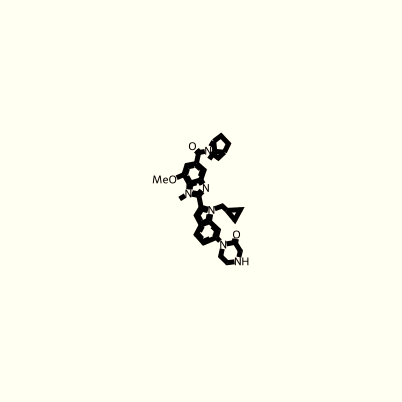 COc1cc(C(=O)N2CC3CCC2C3C)cc2nc(-c3cc4ccc(N5CCNCC5=O)cc4n3CC3CC3)n(C)c12